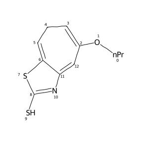 CCCOC1=CCC=c2sc(S)nc2=C1